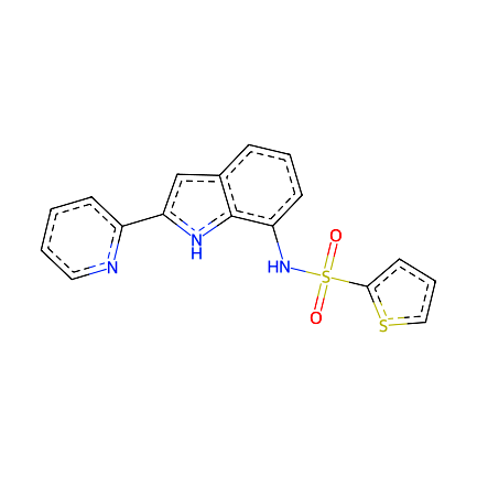 O=S(=O)(Nc1cccc2cc(-c3ccccn3)[nH]c12)c1cccs1